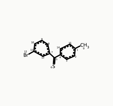 Cc1ccc(C(=S)c2cccc(Br)c2)cc1